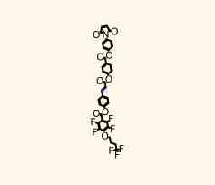 O=C(/C=C/c1ccc(OC(=O)c2c(F)c(F)c(OCCCC(F)(F)F)c(F)c2F)cc1)Oc1ccc(C(=O)Oc2ccc(N3C(=O)C=CC3=O)cc2)cc1